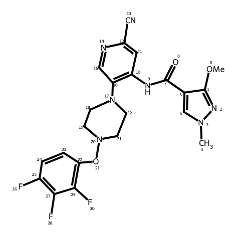 COc1nn(C)cc1C(=O)Nc1cc(C#N)ncc1N1CCN(Oc2ccc(F)c(F)c2F)CC1